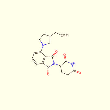 O=C(O)CC1CCN(c2cccc3c2C(=O)N(C2CCC(=O)NC2=O)C3=O)C1